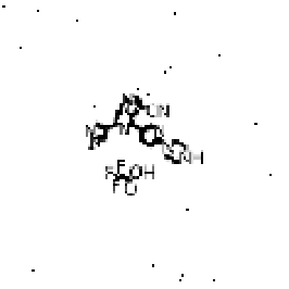 Cn1cc(-c2cn3ncc(C#N)c3c(-c3ccc(N4CCNCC4)nc3)n2)cn1.O=C(O)C(F)(F)F